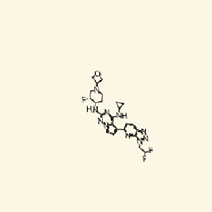 FC(F)Cn1nnc2ccc(-c3ccn4nc(N[C@H]5CCN(C6COC6)C[C@H]5F)nc(NC5CC5)c34)nc21